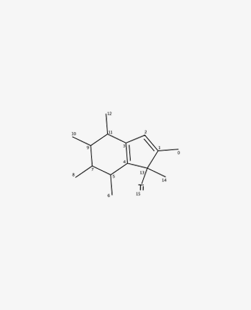 CC1=CC2=C(C(C)C(C)C(C)C2C)[C]1(C)[Ti]